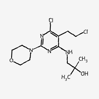 CC(C)(O)CNc1nc(N2CCOCC2)nc(Cl)c1CCCl